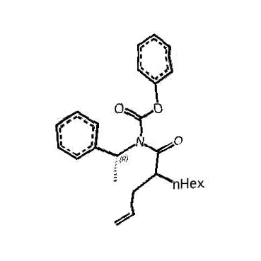 C=CCC(CCCCCC)C(=O)N(C(=O)Oc1ccccc1)[C@H](C)c1ccccc1